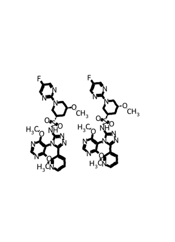 COc1ncnc(OC)c1-n1c(NS(=O)(=O)[C@@H]2C[C@@H](OC)CN(c3ncc(F)cn3)C2)nnc1-c1cccnc1.COc1ncnc(OC)c1-n1c(NS(=O)(=O)[C@H]2C[C@H](OC)CN(c3ncc(F)cn3)C2)nnc1-c1cccnc1